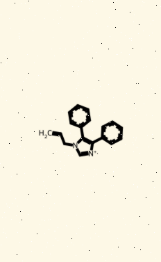 C=CCN1C=[N+]C(c2ccccc2)=C1c1ccccc1